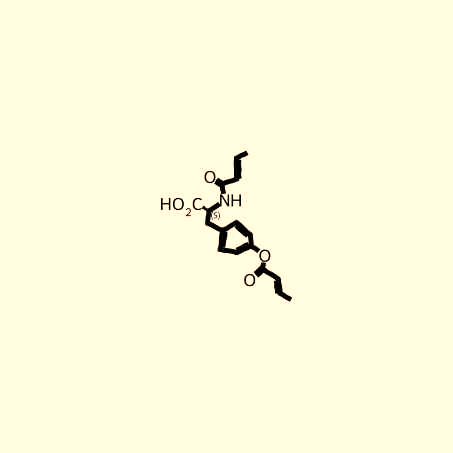 CC=CC(=O)N[C@@H](Cc1ccc(OC(=O)C=CC)cc1)C(=O)O